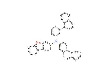 c1cc(-c2cccc3ccccc23)cc(N(c2ccc3c(ccc4ccccc43)c2)c2ccc3c(c2)oc2ccccc23)c1